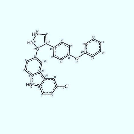 Clc1ccc2[nH]c3ccc(N4NNC=C4c4ccc(Oc5ccccc5)cc4)cc3c2c1